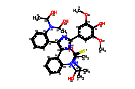 CCNC(=S)n1c(-c2cc(OC)c(O)c(OC)c2)nc(-c2ccccc2N(C(C)O)C(C)O)c1-c1ccccc1N(C(C)O)C(C)O